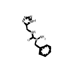 NN(Cc1ccccc1)C(=O)NCc1nnn[nH]1